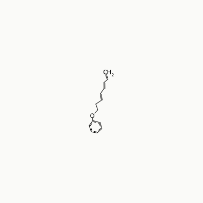 C=CC=CC=CCCOc1ccccc1